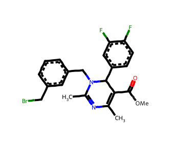 COC(=O)C1=C(C)N=C(C)N(Cc2cccc(CBr)c2)C1c1ccc(F)c(F)c1